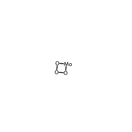 O1[O][Mo][O]1